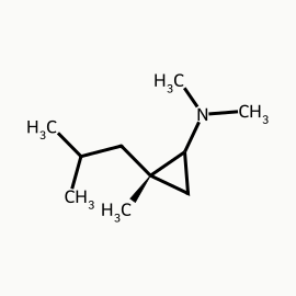 CC(C)C[C@@]1(C)CC1N(C)C